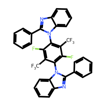 Fc1c(-n2c(-c3ccccc3)nc3ccccc32)c(C(F)(F)F)c(F)c(-n2c(-c3ccccc3)nc3ccccc32)c1C(F)(F)F